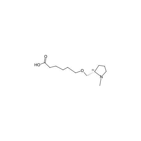 CN1CCC[C@H]1COCCCCCC(=O)O